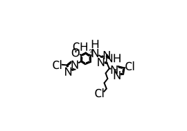 COc1cc(Nc2n[nH]c(C(CCCCCl)n3cc(Cl)cn3)n2)ccc1-n1cnc(Cl)c1